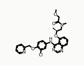 COCC(=O)N(C)C[C@H](C)Oc1cccc2ncnc(Nc3ccc(OCc4ccccn4)c(Cl)c3)c12